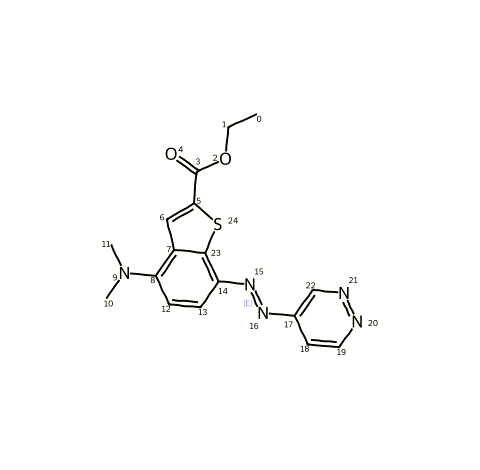 CCOC(=O)c1cc2c(N(C)C)ccc(/N=N/c3ccnnc3)c2s1